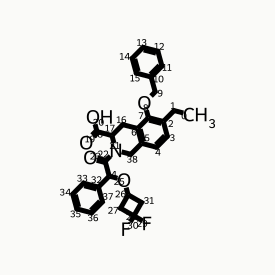 CCc1ccc2c(c1OCc1ccccc1)CC(C(=O)O)N(C(=O)C(OC1CC(F)(F)C1)c1ccccc1)C2